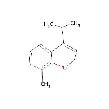 Cc1cccc2c1OCC=C2C(C)C